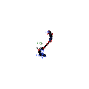 C[C@@H](NC(=O)c1cccc(NC2(c3nnc(-c4ccncc4)[nH]3)CCNCC2)c1)c1ccc(OCCCCCOCCCOCC(=O)N2CCN(c3ccc4c(c3)CN(C3CCC(=O)NC3=O)C4=O)CC2)cc1.Cl